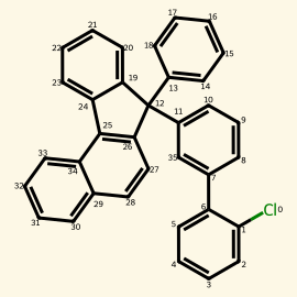 Clc1ccccc1-c1cccc(C2(c3ccccc3)c3ccccc3-c3c2ccc2ccccc32)c1